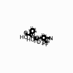 C[C@](O)(Cn1cc(C(=O)O)c2ccccc21)C(=O)Nc1ccc(C#N)c(C(F)(F)F)c1